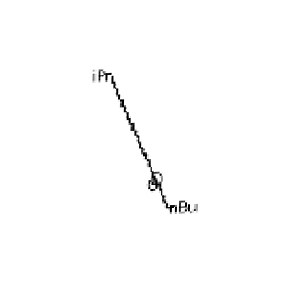 CCCC/C=C\CCCCCCCC(=O)OCCCCCCCCCCCCCCCCCCCCCCCCCCCCCCCCCCC(C)C